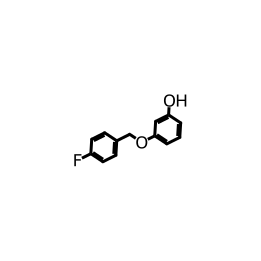 Oc1cccc(OCc2ccc(F)cc2)c1